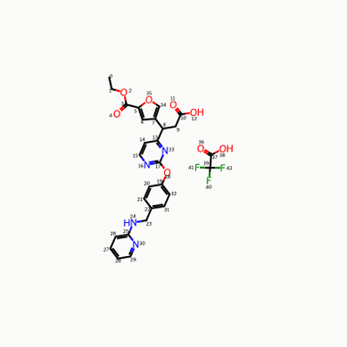 CCOC(=O)c1cc(C(CC(=O)O)c2ccnc(Oc3ccc(CNc4ccccn4)cc3)n2)co1.O=C(O)C(F)(F)F